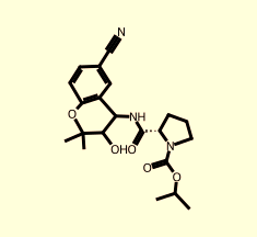 CC(C)OC(=O)N1CCC[C@H]1C(=O)NC1c2cc(C#N)ccc2OC(C)(C)C1O